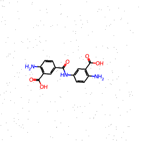 Nc1ccc(NC(=O)c2ccc(N)c(C(=O)O)c2)cc1C(=O)O